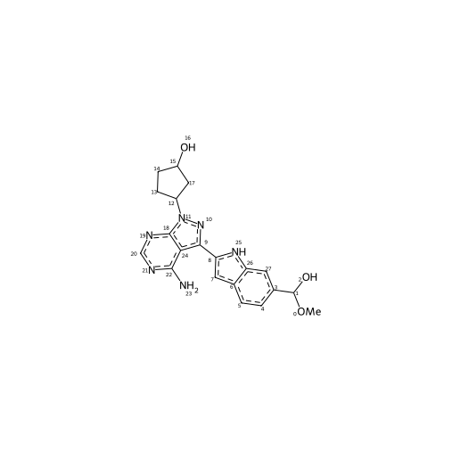 COC(O)c1ccc2cc(-c3nn(C4CCC(O)C4)c4ncnc(N)c34)[nH]c2c1